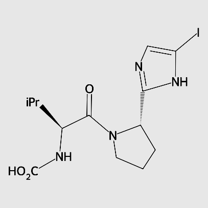 CC(C)[C@H](NC(=O)O)C(=O)N1CCC[C@H]1c1ncc(I)[nH]1